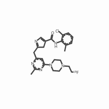 Cc1nc(CC2=NC=C(C(=O)Nc3c(C)cccc3Cl)C2)cc(N2CCN(CC[18F])CC2)n1